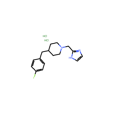 Cl.Cl.Fc1ccc(CC2CCN(Cc3ncc[nH]3)CC2)cc1